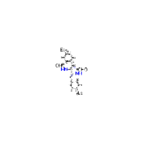 CCc1ccc(/C=C(NC=O)/C(=C/c2ccc(CC)cc2)NC=O)cc1